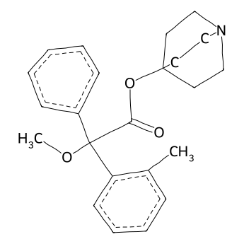 COC(C(=O)OC12CCN(CC1)CC2)(c1ccccc1)c1ccccc1C